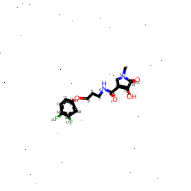 CN1CC(C(=O)NCCCOc2ccc(F)c(F)c2)=C(O)C1=O